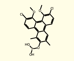 COc1c(Cl)ccc2c3cc(C)c(OP(O)O)c(C)c3c3ccc(Cl)c(OC)c3c12